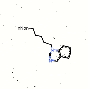 CCCCCCCCCCCCCC[n+]1cncc2ccccc21